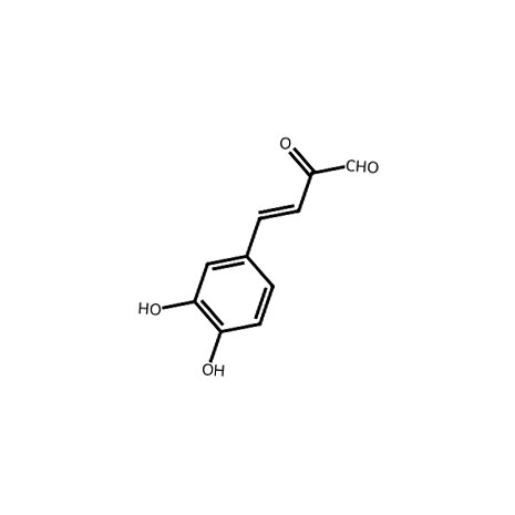 O=CC(=O)C=Cc1ccc(O)c(O)c1